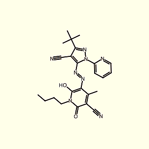 CCCCn1c(O)c(/N=N/c2c(C#N)c(C(C)(C)C)nn2-c2ccccn2)c(C)c(C#N)c1=O